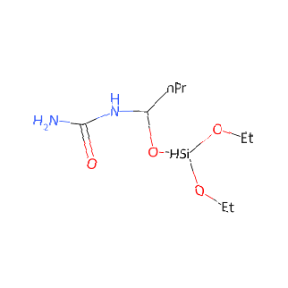 CCCC(NC(N)=O)O[SiH](OCC)OCC